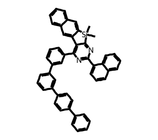 C[Si]1(C)c2cc3ccccc3cc2-c2c(-c3cccc(-c4cccc(-c5ccc(-c6ccccc6)cc5)c4)c3)nc(-c3cccc4ccccc34)nc21